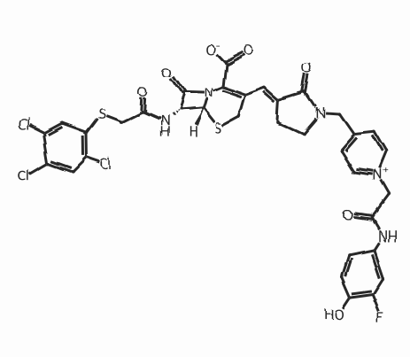 O=C(C[n+]1ccc(CN2CCC(=CC3=C(C(=O)[O-])N4C(=O)[C@@H](NC(=O)CSc5cc(Cl)c(Cl)cc5Cl)[C@H]4SC3)C2=O)cc1)Nc1ccc(O)c(F)c1